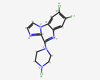 Fc1cc2nc(N3CCN(Cl)CC3)c3nccn3c2cc1Cl